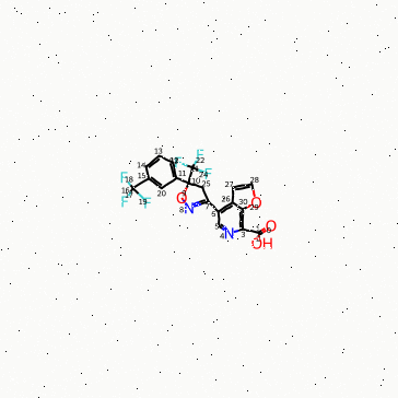 O=C(O)c1ncc(C2=NOC(c3cccc(C(F)(F)F)c3)(C(F)(F)F)C2)c2ccoc12